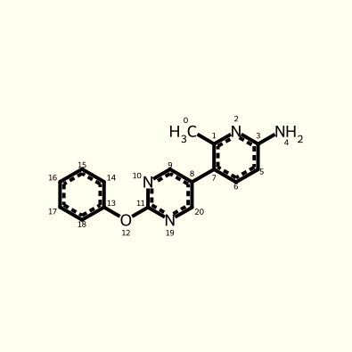 Cc1nc(N)ccc1-c1cnc(Oc2ccccc2)nc1